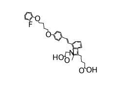 Cc1c(CCCC(=O)O)c2cccc(/C=C/c3ccc(OCCCCOc4ccccc4F)cc3)c2n1CC(=O)O